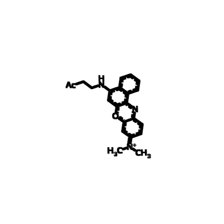 CC(=O)CCNc1cc2oc3cc(=[N+](C)C)ccc-3nc2c2ccccc12